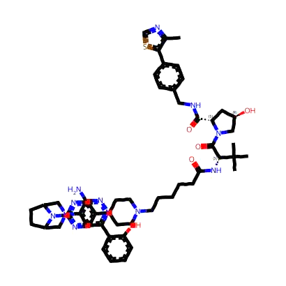 Cc1ncsc1-c1ccc(CNC(=O)[C@@H]2C[C@@H](O)CN2C(=O)[C@@H](NC(=O)CCCCCN2CCC(c3cnc(N4C5CCC4CN(c4cc(-c6ccccc6O)nnc4N)C5)nc3)CC2)C(C)(C)C)cc1